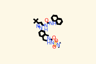 CN(C)S(=O)(=O)NC(=O)N1CCc2ccc(-n3nc(C(C)(C)C)cc3NC(=O)Nc3cccc4ccccc34)cc2C1